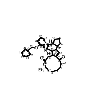 CC[C@H]1CCCC[C@@H](C)C(=O)C2=CC3C(c4nc5c(OCc6ccccc6)cccn5c4[C@@H]4CCC[C@@H]34)[C@@H]2CC(=O)O1